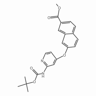 COC(=O)c1ccc2ccc(Oc3ccnc(NC(=O)OC(C)(C)C)c3)cc2c1